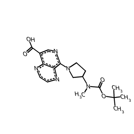 CN(C(=O)OC(C)(C)C)C1CCN(c2ncc(C(=O)O)c3nccnc23)C1